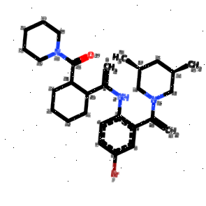 C=C(Nc1ccc(Br)cc1C(=C)N1C[C@H](C)C[C@H](C)C1)C1CCCCC1C(=O)N1CCCCC1